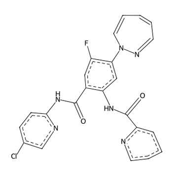 O=C(Nc1cc(N2C=CC=CC=N2)c(F)cc1C(=O)Nc1ccc(Cl)cn1)c1ccccn1